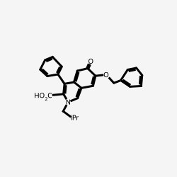 CC(C)Cn1cc2cc(OCc3ccccc3)c(=O)cc-2c(-c2ccccc2)c1C(=O)O